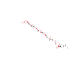 CC(=O)OCCOCCOCCOCCOCCOCCOCCO